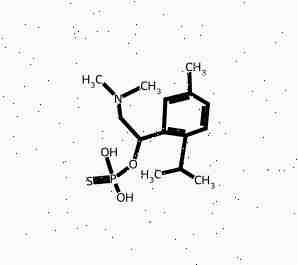 Cc1ccc(C(C)C)c(C(CN(C)C)OP(O)(O)=S)c1